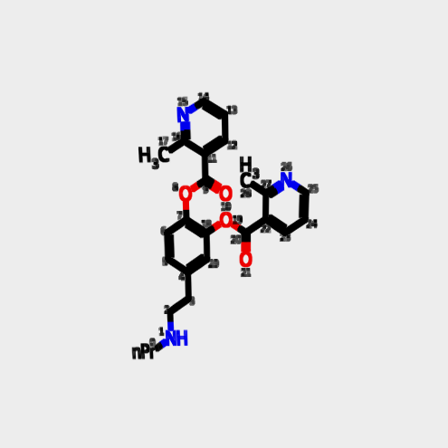 CCCNCCc1ccc(OC(=O)c2cccnc2C)c(OC(=O)c2cccnc2C)c1